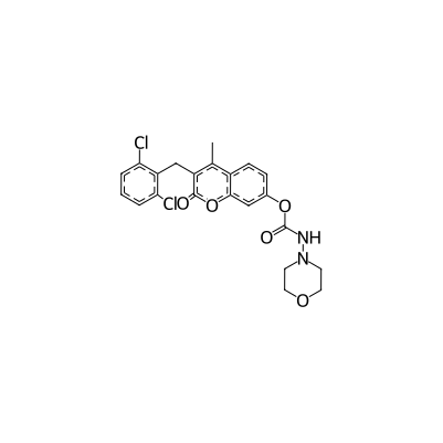 Cc1c(Cc2c(Cl)cccc2Cl)c(=O)oc2cc(OC(=O)NN3CCOCC3)ccc12